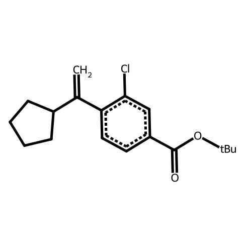 C=C(c1ccc(C(=O)OC(C)(C)C)cc1Cl)C1CCCC1